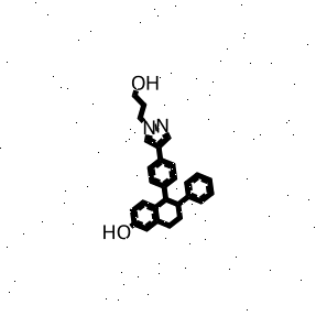 OCCCn1cc(-c2ccc(C3c4ccc(O)cc4CCC3c3ccccc3)cc2)cn1